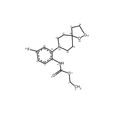 CCOC(=O)Nc1ccc(F)cc1N1CCC2(CCOO2)CC1